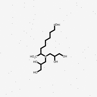 CCCCCCCCCCCCCCCCC(C(=O)O)N(CC(O)CO)CC(O)CO